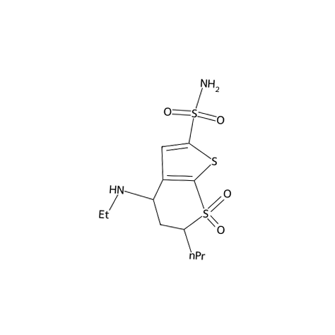 CCCC1CC(NCC)c2cc(S(N)(=O)=O)sc2S1(=O)=O